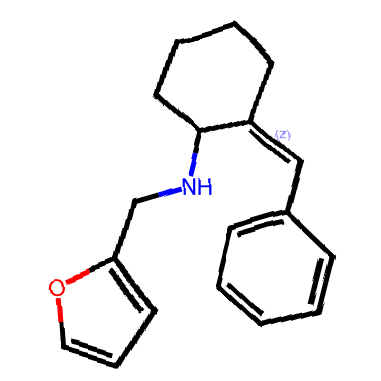 C(=C1\CCCCC1NCc1ccco1)/c1ccccc1